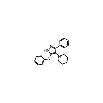 c1ccc(Nc2[nH]nc(-c3ccccc3)c2N2CCCCC2)cc1